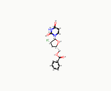 O=C(OC[C@@H]1C[C@H](F)[C@H](n2ccc(=O)[nH]c2=O)O1)c1ccccc1